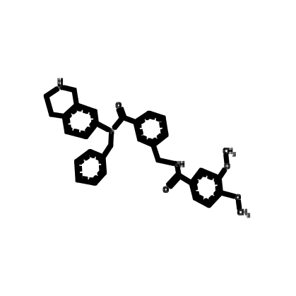 COc1ccc(C(=O)NCc2cccc(C(=O)N(Cc3ccccc3)c3ccc4c(c3)CNCC4)c2)cc1OC